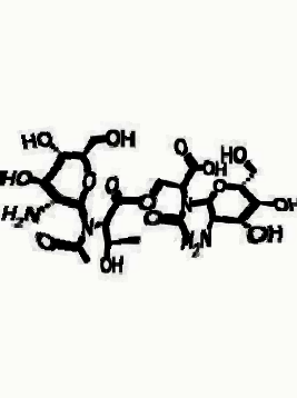 CC(=O)N(C1O[C@H](CO)[C@@H](O)[C@H](O)[C@H]1N)[C@H](C(=O)OC[C@@H](C(=O)O)N(C(C)=O)C1O[C@H](CO)[C@@H](O)[C@H](O)[C@H]1N)[C@@H](C)O